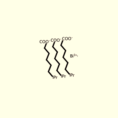 CC(C)CCCCCC(=O)[O-].CC(C)CCCCCC(=O)[O-].CC(C)CCCCCC(=O)[O-].[Bi+3]